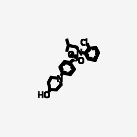 CC(C)CN(c1ccccc1Cl)S(=O)(=O)c1ccc(N2CCC(O)CC2)cc1